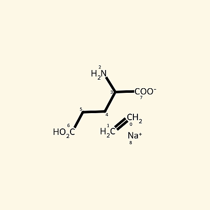 C=C.NC(CCC(=O)O)C(=O)[O-].[Na+]